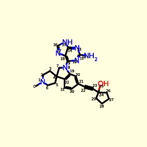 CN1CCC2(CC1)CN(c1nc(N)nc3[nH]cnc13)c1cc(C#CC3(O)CCCC3)ccc12